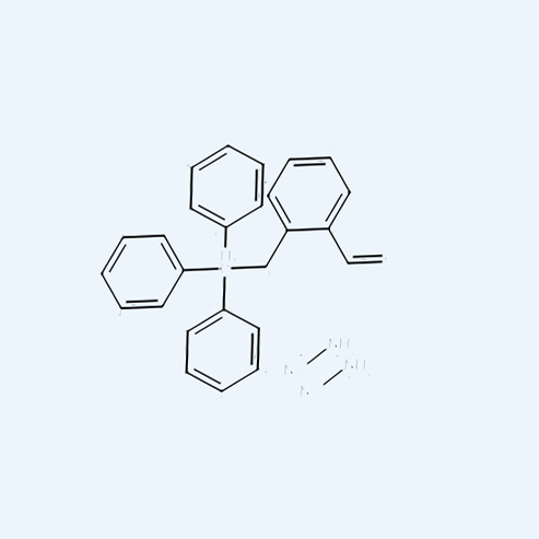 C=Cc1ccccc1C[PH](c1ccccc1)(c1ccccc1)c1ccccc1.N#CN.N#CN